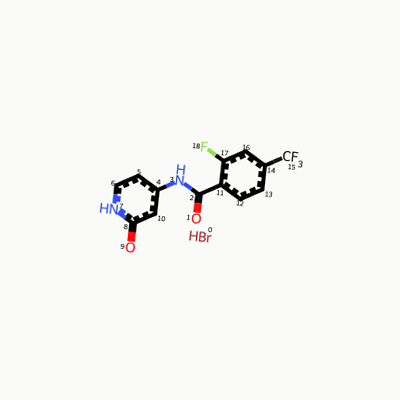 Br.O=C(Nc1cc[nH]c(=O)c1)c1ccc(C(F)(F)F)cc1F